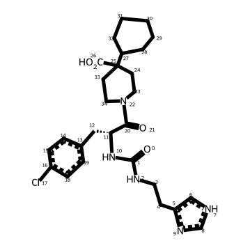 O=C(NCCc1c[nH]cn1)N[C@H](Cc1ccc(Cl)cc1)C(=O)N1CCC(C(=O)O)(C2CCCCC2)CC1